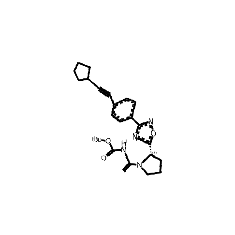 C=C(NC(=O)OC(C)(C)C)N1CCC[C@H]1c1nc(-c2ccc(C#CC3CCCC3)cc2)no1